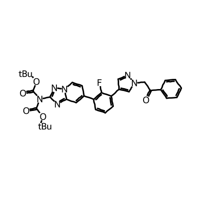 CC(C)(C)OC(=O)N(C(=O)OC(C)(C)C)c1nc2cc(-c3cccc(-c4cnn(CC(=O)c5ccccc5)c4)c3F)ccn2n1